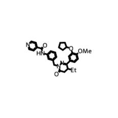 CCC1CC(=O)N(Cc2cccc(NC(=O)c3ccncc3)c2)N=C1c1ccc(OC)c(OC2CCCC2)c1